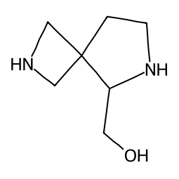 OCC1NCCC12CNC2